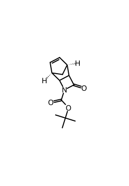 CC(C)(C)OC(=O)N1C(=O)C2C1[C@H]1C=C[C@@H]2C1